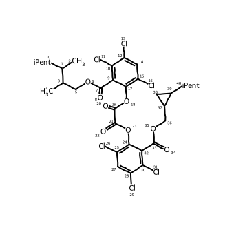 CCCC(C)C(C)C(C)COC(=O)c1c(Cl)c(Cl)cc(Cl)c1OC(=O)C(=O)Oc1c(Cl)cc(Cl)c(Cl)c1C(=O)OCC1CC1C(C)CCC